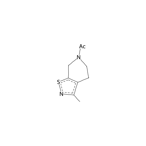 CC(=O)N1CCc2c(C)nsc2C1